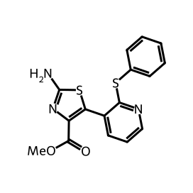 COC(=O)c1nc(N)sc1-c1cccnc1Sc1ccccc1